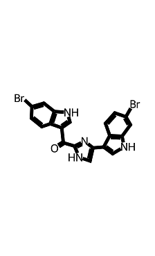 O=C(c1nc(-c2c[nH]c3cc(Br)ccc23)c[nH]1)c1c[nH]c2cc(Br)ccc12